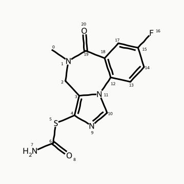 CN1Cc2c(SC(N)=O)ncn2-c2ccc(F)cc2C1=O